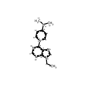 CCn1cnc2c(-[n+]3ccc(N(C)C)cc3)ncnc21